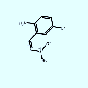 Cc1ccc(Br)cc1/C=N\[S@@+]([O-])C(C)(C)C